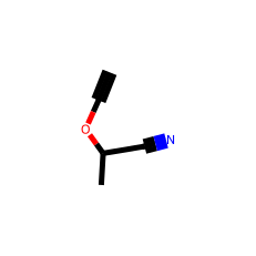 C#COC(C)C#N